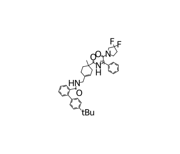 CC1(C(=O)N[C@H](C(=O)N2CCC(F)(F)C2)c2ccccc2)CC=C(CNC(=O)c2ccccc2-c2ccc(C(C)(C)C)cc2)CC1